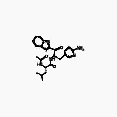 CC(=O)N[C@@H](CC(C)C)C(=O)NC(Cc1ccc(N)nc1)C(=O)c1nc2ccccc2s1